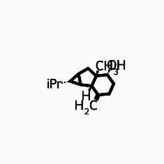 C=C1CC[C@@H](O)[C@@]2(C)CC3C([C@@H]3C(C)C)[C@@H]12